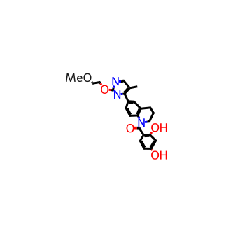 COCCOc1ncc(C)c(-c2ccc3c(c2)CCCN3C(=O)c2ccc(O)cc2O)n1